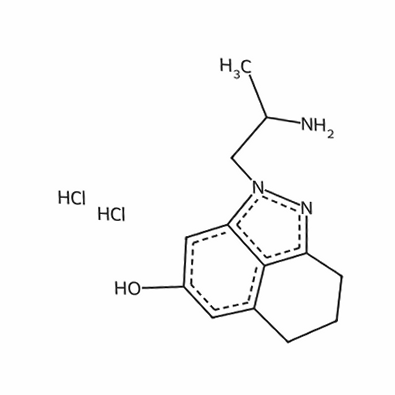 CC(N)Cn1nc2c3c(cc(O)cc31)CCC2.Cl.Cl